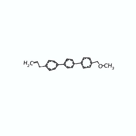 C=CCc1ccc(-c2ccc(-c3ccc(COC)cc3)cc2)cc1